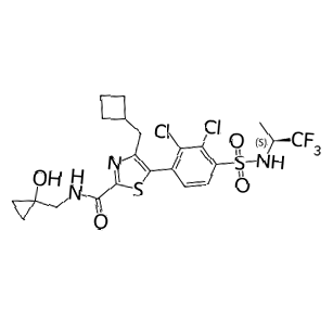 C[C@H](NS(=O)(=O)c1ccc(-c2sc(C(=O)NCC3(O)CC3)nc2CC2CCC2)c(Cl)c1Cl)C(F)(F)F